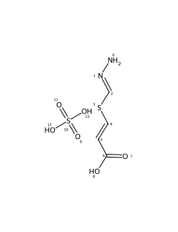 NN=CSC=CC(=O)O.O=S(=O)(O)O